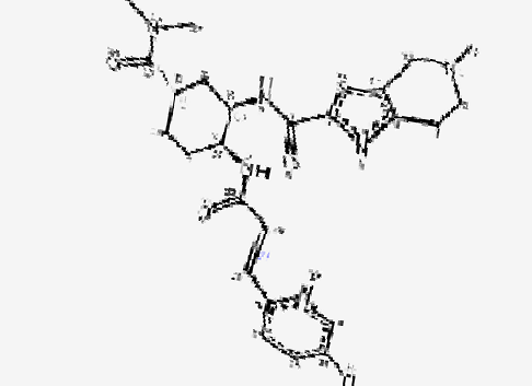 CN1CCc2nc(C(=O)N[C@@H]3C[C@@H](C(=O)N(C)C)CC[C@@H]3NC(=O)/C=C/c3ccc(Cl)cn3)sc2C1